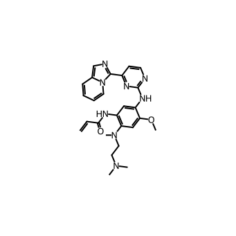 C=CC(=O)Nc1cc(Nc2nccc(-c3ncc4ccccn34)n2)c(OC)cc1N(C)CCN(C)C